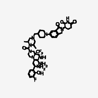 CC1CN(CC2CCN(c3ccc4c(c3)C(=O)N(C3CCC(=O)NC3=O)C4)CC2)CC(C)N1C(=O)N1CCN2C(/C=C(\N)c3cccc(F)c3O)=C(N)NCC2(C(F)(F)F)C1